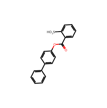 O=C(Oc1ccc(-c2ccccc2)cc1)c1ccccc1S(=O)(=O)O